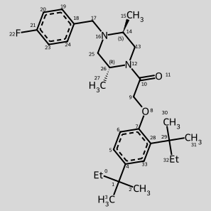 CCC(C)(C)c1ccc(OCC(=O)N2C[C@H](C)N(Cc3ccc(F)cc3)C[C@H]2C)c(C(C)(C)CC)c1